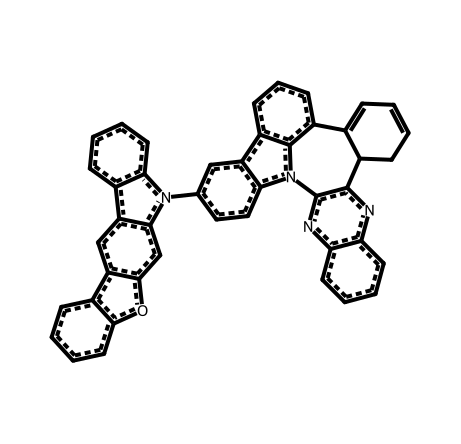 C1=CCC2C(=C1)c1cccc3c4cc(-n5c6ccccc6c6cc7c(cc65)oc5ccccc57)ccc4n(c13)-c1nc3ccccc3nc12